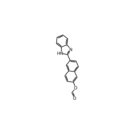 O=COc1ccc2cc(-c3nc4ccccc4[nH]3)ccc2c1